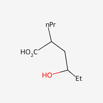 CCCC(CC(O)CC)C(=O)O